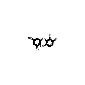 N#Cc1cc(C#N)cc(Oc2c([N+](=O)[O-])ccc(F)c2F)c1